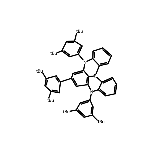 CC(C)(C)c1cc(-c2cc3c4c(c2)N(c2cc(C(C)(C)C)cc(C(C)(C)C)c2)c2ccccc2B4c2ccccc2N3c2cc(C(C)(C)C)cc(C(C)(C)C)c2)cc(C(C)(C)C)c1